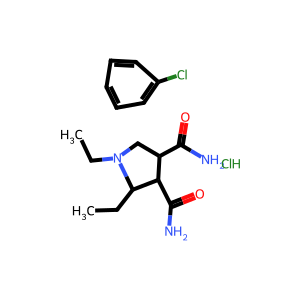 CCC1C(C(N)=O)C(C(N)=O)CN1CC.Cl.Clc1ccccc1